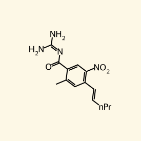 CCC/C=C/c1cc(C)c(C(=O)N=C(N)N)cc1[N+](=O)[O-]